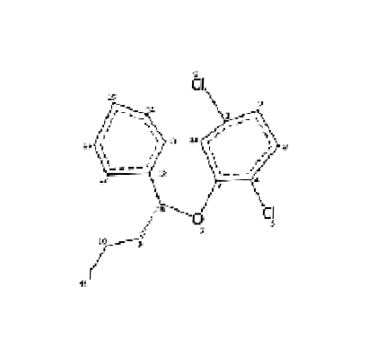 Clc1ccc(Cl)c(O[C@H](CCI)c2ccccc2)c1